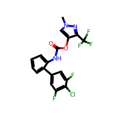 Cn1cc(OC(=O)Nc2ccccc2-c2cc(F)c(Cl)c(F)c2)c(C(F)(F)F)n1